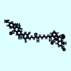 CCc1cc2c(cc1N1CC(C)N(CCCC(=O)NCCCCCNc3cccc4c(=C=O)n(C5CCC(=C=O)NC5=C=O)c(=C=O)c34)C(C)C1)C(C)(C)c1[nH]c3cc(C#N)ccc3c1C2=C=O